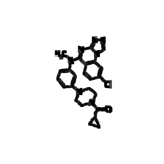 CN(c1cccc(N2CCN(C(=O)C3CC3)CC2)c1)c1nc2nncn2c2cc(Cl)ccc12